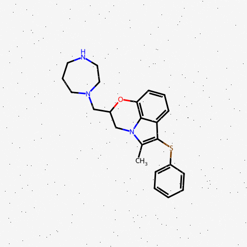 Cc1c(Sc2ccccc2)c2cccc3c2n1CC(CN1CCCNCC1)O3